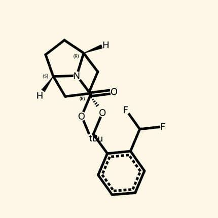 CC(C)(C)OC(=O)N1[C@@H]2CC[C@H]1C[C@@H](OCc1ccccc1C(F)F)C2